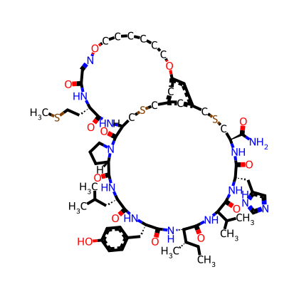 CC[C@H](C)[C@@H]1NC(=O)[C@H](Cc2ccc(O)cc2)NC(=O)[C@H](CC(C)C)NC(=O)[C@@H]2CCCN2C(=O)[C@@H]2CSCc3cc(cc(c3)OCCCCCCO/N=C/C(=O)N[C@@H](CCSC)C(=O)N2)CSC[C@@H](C(N)=O)NC(=O)[C@H](Cc2cnc[nH]2)NC(=O)C(C(C)C)NC1=O